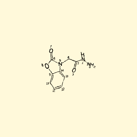 NNC(=O)Cn1c(=O)oc2ccccc21